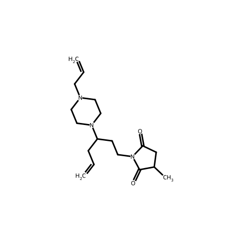 C=CCC(CCN1C(=O)CC(C)C1=O)N1CCN(CC=C)CC1